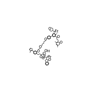 CCC(c1cc(-c2ccc(OCCCCCOCCOc3cc(C4=C(C)C=CC4)ccc3CCC(=O)C3C[C@@H](O)CN3C(=O)C(C(C)C)C3Cc4ccccc4C3=O)cc2)cc(C(=O)CCC2=C(C)C=C(C)CC2=O)c1C)C1CCOCC1